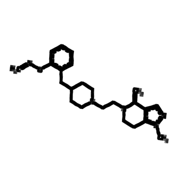 C=NOc1ccccc1CC1CCN(CCN2CCc3c(cnn3C)C2=C)CC1